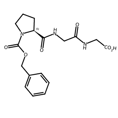 O=C(O)CNC(=O)CNC(=O)[C@@H]1CCCN1C(=O)OCc1ccccc1